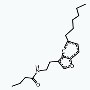 CCCCCCc1ccc2occ(CCNC(=O)CCC)c2c1